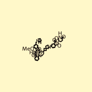 COc1cc(Cn2cccn2)cc2onc(NS(=O)(=O)c3ccccc3N3CCN(C4CC5(CCN(c6ccc7c(c6)C(=O)N(C6CCC(=O)NC6=O)C7=O)C5)C4)CC3)c12